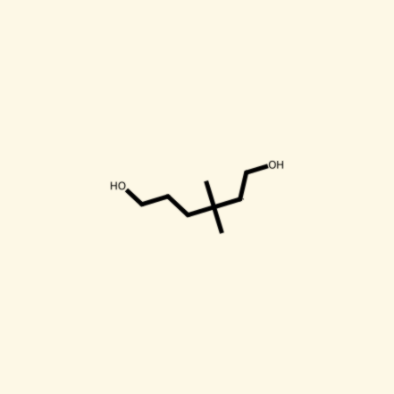 CC(C)([CH]CO)CCCO